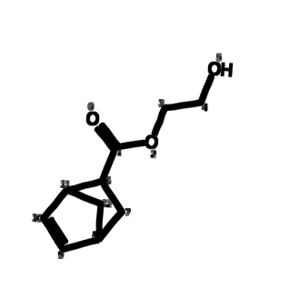 O=C(OCCO)C1CC2C=CC1C2